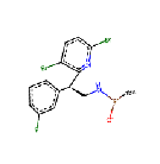 CC(C)(C)[S+]([O-])NC[C@@H](c1cccc(F)c1)c1nc(Br)ccc1Br